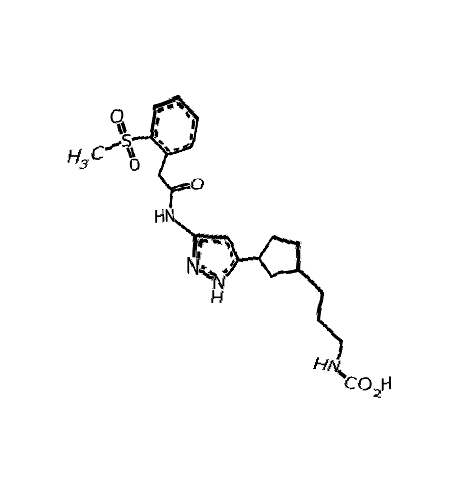 CS(=O)(=O)c1ccccc1CC(=O)Nc1cc(C2CCC(CCCNC(=O)O)C2)[nH]n1